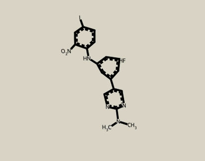 CN(C)c1ncc(-c2cccc(Nc3ccc(I)cc3[N+](=O)[O-])c2)cn1.F